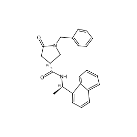 C[C@@H](NC(=O)[C@@H]1CC(=O)N(Cc2ccccc2)C1)c1cccc2ccccc12